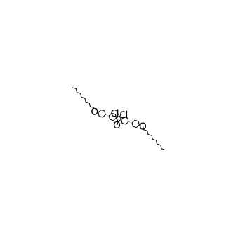 CCCCCCCCCCO[C@H]1CC[C@H](C2CCC3(CC2)C(=O)C2(CCC([C@H]4CC[C@H](OCCCCCCCCCC)CC4)CC2)C3(Cl)Cl)CC1